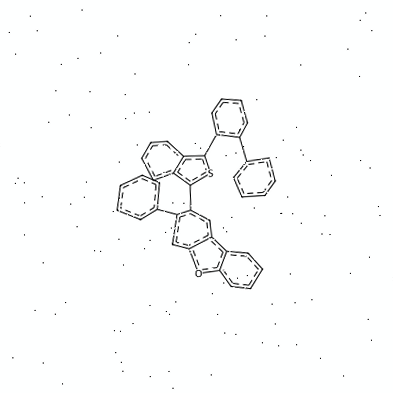 c1ccc(-c2ccccc2-c2sc(-c3cc4c(cc3-c3ccccc3)oc3ccccc34)c3ccccc23)cc1